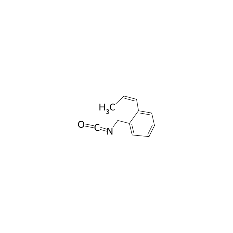 C/C=C\c1ccccc1CN=C=O